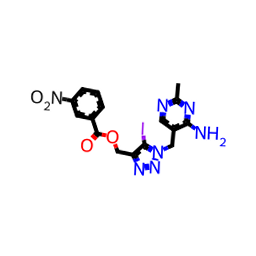 Cc1ncc(Cn2nnc(COC(=O)c3cccc([N+](=O)[O-])c3)c2I)c(N)n1